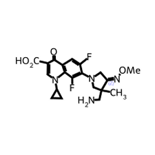 CO/N=C1\CN(c2c(F)cc3c(=O)c(C(=O)O)cn(C4CC4)c3c2F)CC1(C)CN